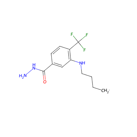 [CH2]CCCNc1cc(C(=O)NN)ccc1C(F)(F)F